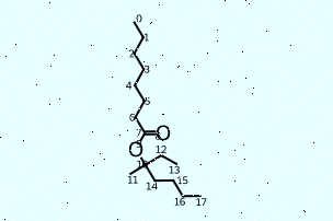 CCCCCCCC(=O)OC(C)(CC)CCCC